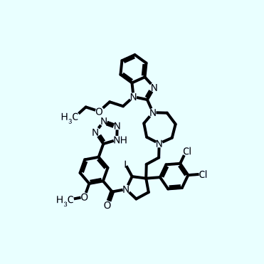 CCOCCn1c(N2CCCN(CCC3(c4ccc(Cl)c(Cl)c4)CCN(C(=O)c4cc(-c5nnn[nH]5)ccc4OC)C3I)CC2)nc2ccccc21